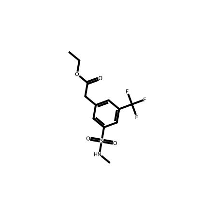 CCOC(=O)Cc1cc(C(F)(F)F)cc(S(=O)(=O)NC)c1